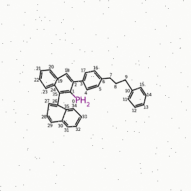 Pc1c(-c2ccc(CCCc3ccccc3)cc2)cc2ccccc2c1-c1cccc2ccccc12